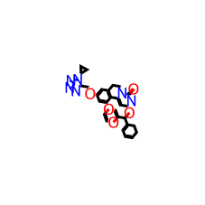 O=c1nc(OC(C2=CC=CCC2)C2=COC=CO2)cc2n1CCc1cc(OCc3nnnn3C3CC3)ccc1-2